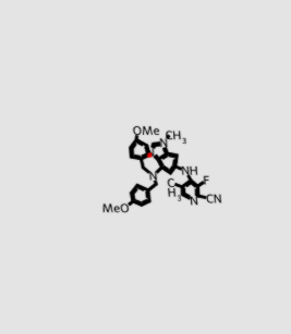 COc1ccc(CN(Cc2ccc(OC)cc2)c2cc(Nc3c(C)cnc(C#N)c3F)cc3c2ncn3C)cc1